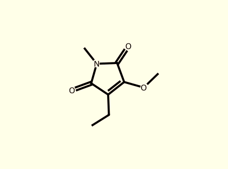 CCC1=C(OC)C(=O)N(C)C1=O